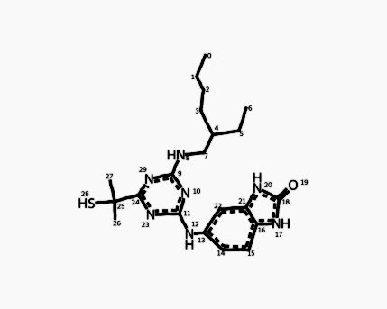 CCCCC(CC)CNc1nc(Nc2ccc3[nH]c(=O)[nH]c3c2)nc(C(C)(C)S)n1